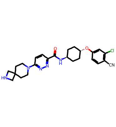 N#Cc1ccc(O[C@H]2CC[C@H](NC(=O)c3ccc(N4CCC5(CC4)CNC5)nn3)CC2)cc1Cl